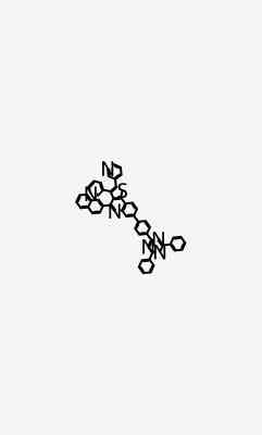 c1ccc(-c2nc(-c3ccccc3)nc(-c3ccc(-c4ccc5c(c4)nc(-c4ccc6ccccc6c4)c4c(-c6cccnc6)c(-c6cccnc6)sc45)cc3)n2)cc1